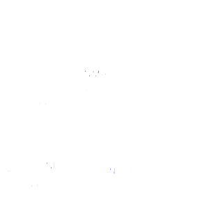 CCS(=O)(=O)Nc1cc2oc(-c3ccc(F)cc3)c(C(=O)NC)c2cc1[C@H]1CCCN(S(=O)(=O)c2ccc(F)cc2)C1